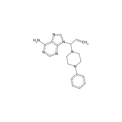 C=CC(N1CCN(c2ccccc2)CC1)n1cnc2c(N)ncnc21